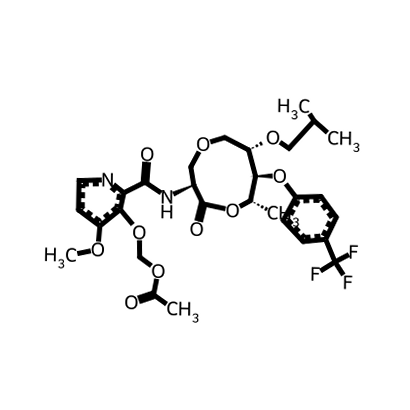 COc1ccnc(C(=O)N[C@H]2COC[C@H](OCC(C)C)[C@@H](Oc3ccc(C(F)(F)F)cc3)[C@H](C)OC2=O)c1OCOC(C)=O